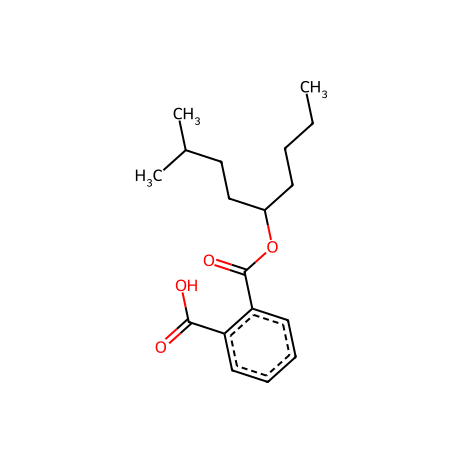 CCCCC(CCC(C)C)OC(=O)c1ccccc1C(=O)O